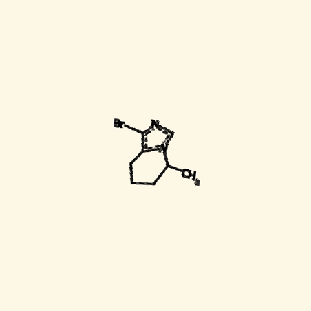 CC1CCCc2c(Br)ncn21